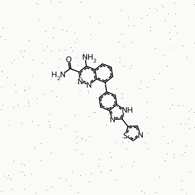 NC(=O)c1nnc2c(-c3ccc4nc(-c5cncs5)[nH]c4c3)cccc2c1N